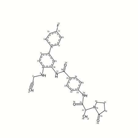 C#CCNc1ccc(-c2ccc(F)cc2)cc1NC(=O)c1ccc(NC(=O)C(C)N2CCCC2=O)cc1